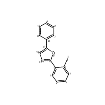 Ic1ccccc1-c1nnc(-c2ccccc2)o1